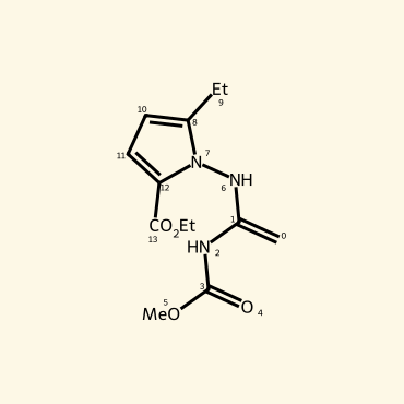 C=C(NC(=O)OC)Nn1c(CC)ccc1C(=O)OCC